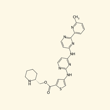 Cc1cccc(-c2nccc(Nc3ccnc(Nc4csc(C(=O)OC[C@H]5CCCCN5)c4)n3)n2)n1